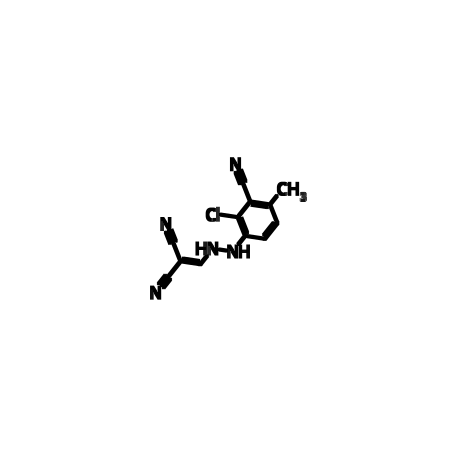 Cc1ccc(NNC=C(C#N)C#N)c(Cl)c1C#N